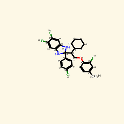 O=C(O)c1ccc(OCC(C2CCCCC2)C2(c3ccc(Cl)cc3)Nc3cc(F)c(F)cc3N2)c(F)c1